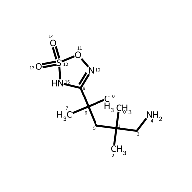 CC(C)(CN)CC(C)(C)C1=NOS(=O)(=O)N1